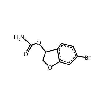 NC(=O)OC1COc2cc(Br)ccc21